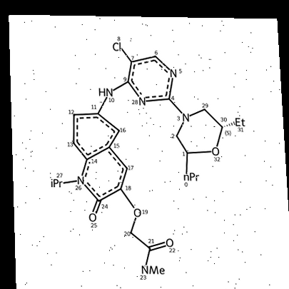 CCCC1CN(c2ncc(Cl)c(Nc3ccc4c(c3)cc(OCC(=O)NC)c(=O)n4C(C)C)n2)C[C@H](CC)O1